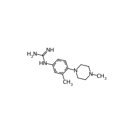 Cc1cc(NC(=N)N)ccc1N1CCN(C)CC1